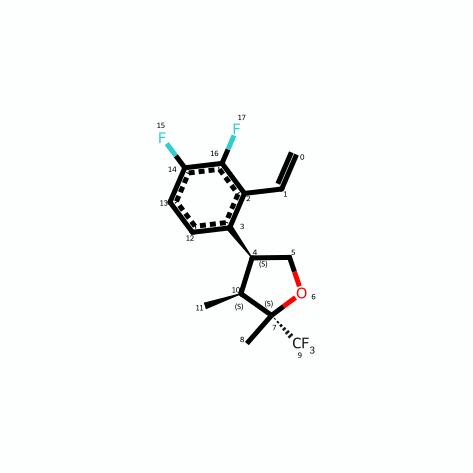 C=Cc1c([C@H]2CO[C@](C)(C(F)(F)F)[C@H]2C)ccc(F)c1F